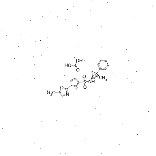 Cc1cnc(-c2ccc(S(=O)(=O)N[C@H]3C[C@]3(C)c3ccccc3)s2)o1.O=C(O)O